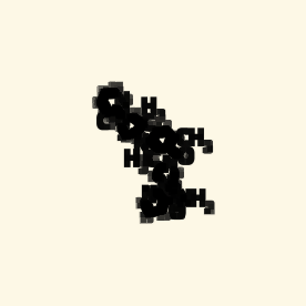 Cc1cc(C)c(C(=O)N2CCN(c3ncccc3S(N)(=O)=O)CC2)c(C)c1NC1CCN(c2ncccc2Cl)CC1